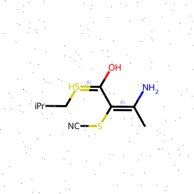 C/C(N)=C(SC#N)/C(O)=[SH]\CC(C)C